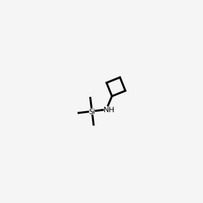 C[Si](C)(C)NC1CCC1